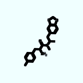 Cc1ccc(CC(N)C(=O)N(C)C(C)Cc2ccc3c(c2)OCO3)cc1